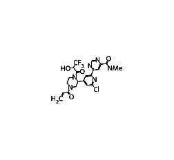 C=CC(=O)N1CCN(C(=O)[C@@H](O)C(F)(F)F)[C@@H](c2cc(Cl)nc(-c3cc(C(=O)NC)ncn3)c2)C1